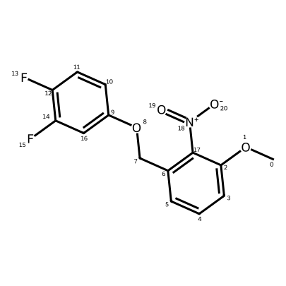 COc1cccc(COc2ccc(F)c(F)c2)c1[N+](=O)[O-]